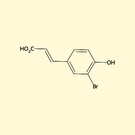 O=C(O)C=Cc1ccc(O)c(Br)c1